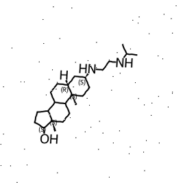 CC(C)NCCN[C@H]1CC[C@]2(C)C3CC[C@@]4(C)C(CC[C@@H]4O)C3CC[C@@H]2C1